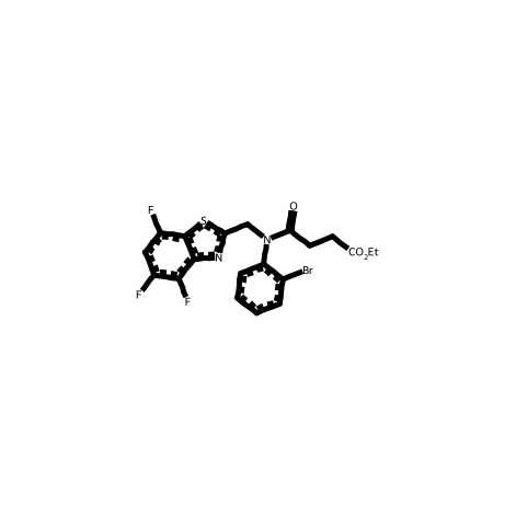 CCOC(=O)CCC(=O)N(Cc1nc2c(F)c(F)cc(F)c2s1)c1ccccc1Br